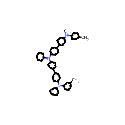 Cc1ccc(N(C)c2ccc(-c3ccc(N(c4ccccc4)c4ccc(-c5ccc(N(c6ccccc6)c6cccc(C)c6)cc5)cc4)cc3)cc2)cc1